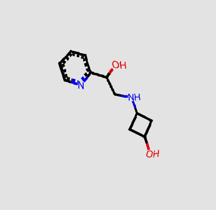 OC1CC(NCC(O)c2ccccn2)C1